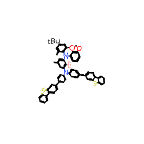 Cc1cc2c3c(c1)N(c1c(C)cc(C(C)(C)C)cc1C)c1c(ccc4c1OCO4)B3c1cc(-c3ccc4c(c3)sc3ccccc34)ccc1N2c1ccc(-c2ccc3c(c2)sc2ccccc23)cc1